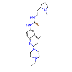 CCN1CCN(c2cc(C)c3cc(NC(=S)NCCC4CCCN4C)ccc3n2)CC1